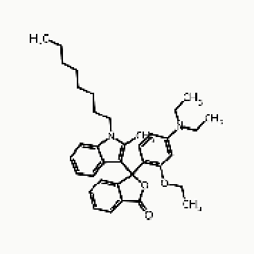 CCCCCCCCn1c(C)c(C2(c3ccc(N(CC)CC)cc3OCC)OC(=O)c3ccccc32)c2ccccc21